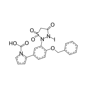 O=C1CS(=O)(=O)N(c2cc(-c3cccn3C(=O)O)ccc2OCc2ccccc2)N1I